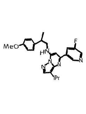 COc1ccc(C(C)CNc2cc(-c3cncc(F)c3)nc3c(C(C)C)cnn23)cc1